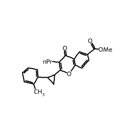 CCCc1c(C2CC2c2ccccc2C)oc2ccc(C(=O)OC)cc2c1=O